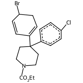 CCOC(=O)N1CCC(C2=CCC(Br)C=C2)(c2ccc(Cl)cc2)CC1